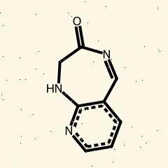 O=C1CNc2ncccc2C=N1